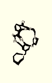 O=c1[nH]c2cc(CN3CCCCC3)cc3c2nc1-c1cccc2c(=O)n(sc12)CCN1CC[C@@H](C1)O3